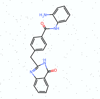 Nc1ccccc1NC(=O)c1ccc(Cc2nc3ccccc3c(=O)[nH]2)cc1